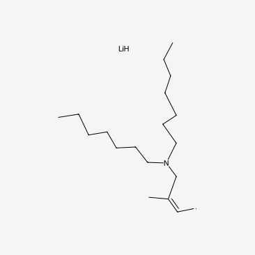 [CH2]C=C(C)CN(CCCCCCC)CCCCCCC.[LiH]